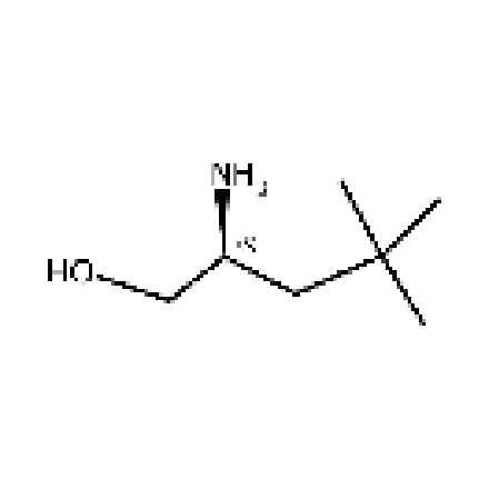 CC(C)(C)C[C@H](N)CO